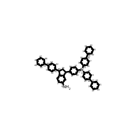 Nc1ccc2c(c1)C(c1ccc(N(c3ccc(-c4ccccc4)cc3)c3ccc(-c4ccccc4)cc3)cc1)CC2c1ccc(-c2ccccc2)cc1